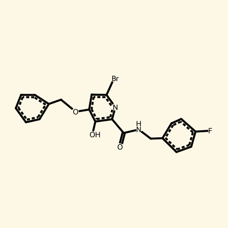 O=C(NCc1ccc(F)cc1)c1nc(Br)cc(OCc2ccccc2)c1O